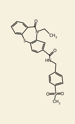 CCN1C(=O)c2ccccc2Sc2ccc(C(=O)NCc3ccc(S(C)(=O)=O)cc3)cc21